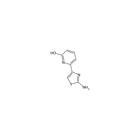 Nc1nc(-c2cccc(O)n2)cs1